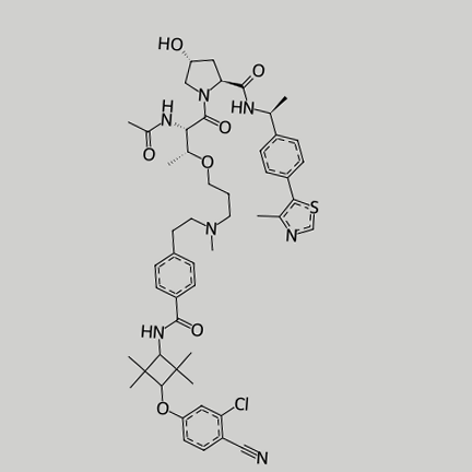 CC(=O)N[C@H](C(=O)N1C[C@H](O)C[C@H]1C(=O)N[C@@H](C)c1ccc(-c2scnc2C)cc1)[C@@H](C)OCCCN(C)CCc1ccc(C(=O)NC2C(C)(C)C(Oc3ccc(C#N)c(Cl)c3)C2(C)C)cc1